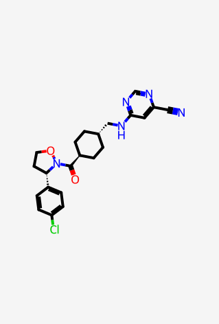 N#Cc1cc(NC[C@H]2CC[C@H](C(=O)N3OCC[C@H]3c3ccc(Cl)cc3)CC2)ncn1